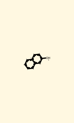 Oc1[c]cc2c[c]ccc2c1